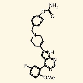 COc1ccc(F)cc1-c1ncnc2[nH]c(C3=CCN(Cc4ccc(OC(N)=O)cc4)CC3)cc12